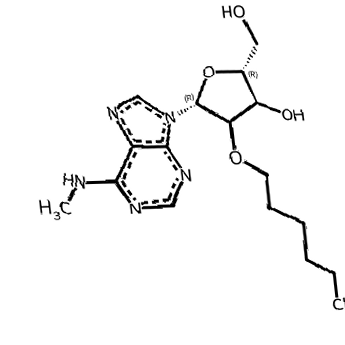 CCCCCCOC1C(O)[C@@H](CO)O[C@H]1n1cnc2c(NC)ncnc21